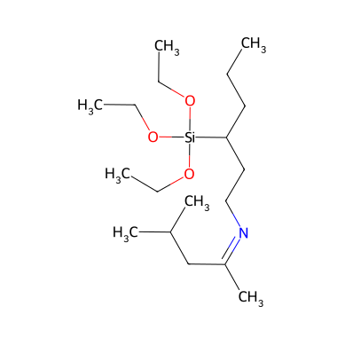 CCCC(CC/N=C(/C)CC(C)C)[Si](OCC)(OCC)OCC